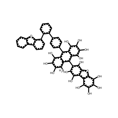 Bc1c(O)c(O)c(O)c2c(-c3ccc(-c4ccccc4-c4cccc5c4oc4ccccc45)cc3)c3c(O)c(O)c(O)c(O)c3c(-c3c(O)c(O)c4c(oc5c(O)c(O)c(O)c(O)c54)c3O)c12